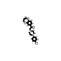 O=C(CN1CCN(c2ccc(Cl)cc2)CC1)c1ccc2c(c1)OCC=CO2